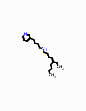 CCCCC(=CCCCNCCCCc1cccnc1)CC